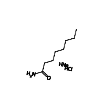 CCCCCCCC(N)=O.Cl.[NaH]